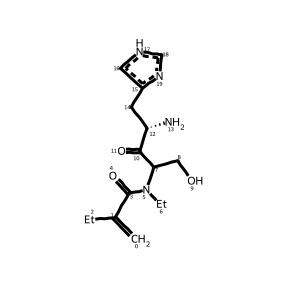 C=C(CC)C(=O)N(CC)C(CO)C(=O)[C@@H](N)Cc1c[nH]cn1